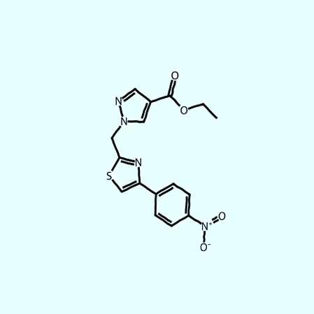 CCOC(=O)c1cnn(Cc2nc(-c3ccc([N+](=O)[O-])cc3)cs2)c1